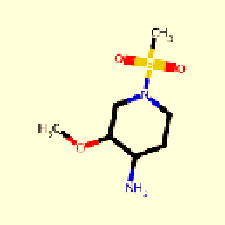 COC1CN(S(C)(=O)=O)CCC1N